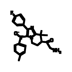 Cc1ccc([S+]([O-])c2c(-c3ccc(F)cc3)nc3n2CCC(C(=O)CN)C3(C)C)cc1